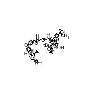 Cc1ncsc1-c1ccc([C@H](CC(=O)NCCOCCNC(=O)CN2CCN(C(=O)c3ccc(Nc4nc(C5CC5)cn5c(-c6cn[nH]c6)cnc45)c(F)c3)CC2)NC(=O)[C@@H]2C[C@@H](O)CN2C(O)[C@@H](NC(=O)C2(F)CC2)C(C)(C)C)cc1